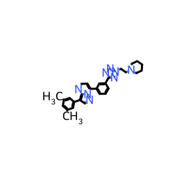 Cc1cc(C)cc(-c2cnn3c(-c4cccc(-c5nnn(CCN6CCCCC6)n5)c4)ccnc23)c1